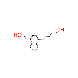 OCCCCCc1ccc(CCO)c2ccccc12